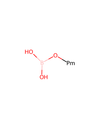 OB(O)[O][Pm]